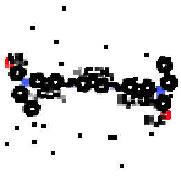 COc1ccc(N(c2cccc(-c3ccccc3)c2)c2ccc3c(c2)C(C)(C)c2cc(/C=C/c4ccc5c(c4)C(C)(C)c4cc(/C=C/c6ccc7c(c6)C(C)(C)c6cc(N(c8ccc(OC)cc8)c8cccc(-c9ccccc9)c8)ccc6-7)ccc4-5)ccc2-3)cc1